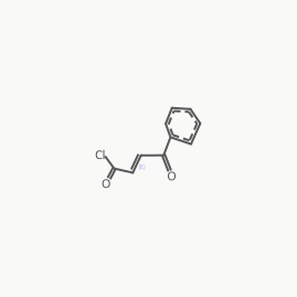 O=C(Cl)/C=C/C(=O)c1ccccc1